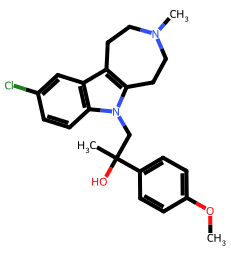 COc1ccc(C(C)(O)Cn2c3c(c4cc(Cl)ccc42)CCN(C)CC3)cc1